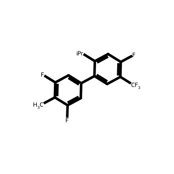 Cc1c(F)cc(-c2cc(C(F)(F)F)c(F)cc2C(C)C)cc1F